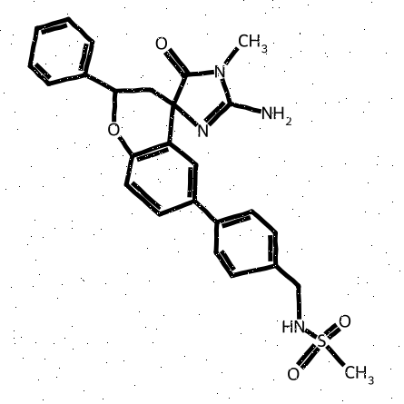 CN1C(=O)C2(CC(c3ccccc3)Oc3ccc(-c4ccc(CNS(C)(=O)=O)cc4)cc32)N=C1N